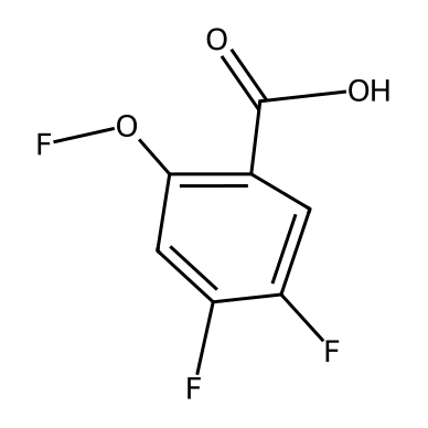 O=C(O)c1cc(F)c(F)cc1OF